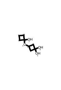 OC1(O)CC(OC2(O)CCC2)C1